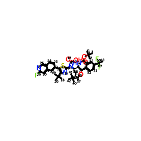 CC(C)(C)OC(=O)N[C@H](CN(C(=O)O)c1nc(C(C)(C)C)c(-c2ccc3cnc(F)cc3c2)s1)[C@@H](O[Si](C)(C)C(C)(C)C)c1ccc(C(C)(F)F)cc1